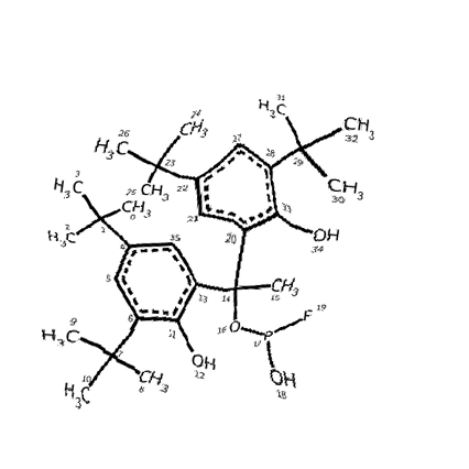 CC(C)(C)c1cc(C(C)(C)C)c(O)c(C(C)(OP(O)F)c2cc(C(C)(C)C)cc(C(C)(C)C)c2O)c1